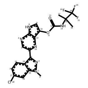 Cn1nc(-c2cnc3[nH]cc(OC(=O)NC(C)(C)C(F)(F)F)c3n2)c2ccc(Cl)cc21